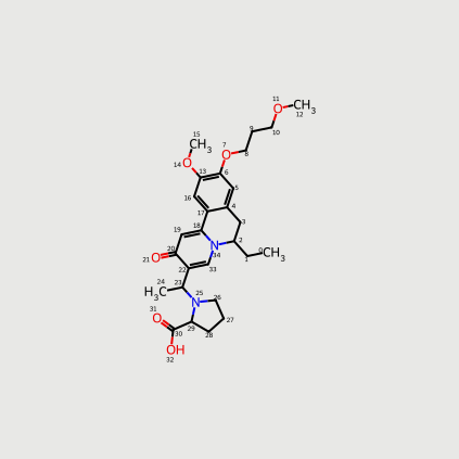 CCC1Cc2cc(OCCCOC)c(OC)cc2-c2cc(=O)c(C(C)N3CCCC3C(=O)O)cn21